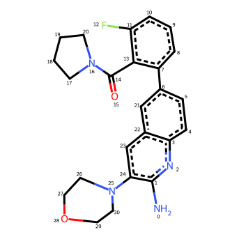 Nc1nc2ccc(-c3cccc(F)c3C(=O)N3CCCC3)cc2cc1N1CCOCC1